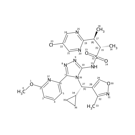 COc1cccc(-c2nnc(NS(=O)(=O)[C@@H](C)[C@H](C)c3ncc(Cl)cn3)n2[C@H](c2conc2C)C2CC2)n1